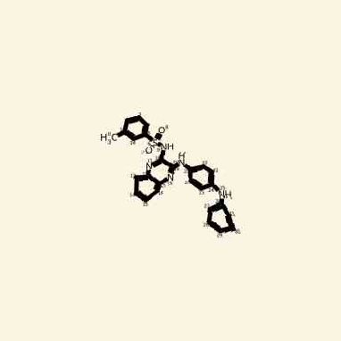 Cc1cccc(S(=O)(=O)Nc2nc3ccccc3nc2Nc2ccc(Nc3ccccc3)cc2)c1